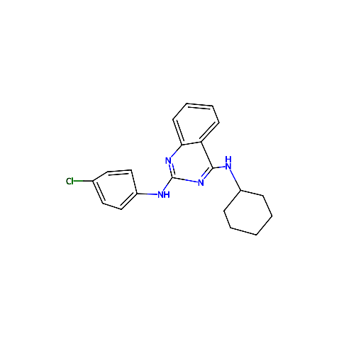 Clc1ccc(Nc2nc(NC3CCCCC3)c3ccccc3n2)cc1